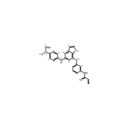 C=CC(=O)Nc1cccc(Oc2nc(Nc3ccc([S+]([O-])NC)cc3)nc3ccsc23)c1